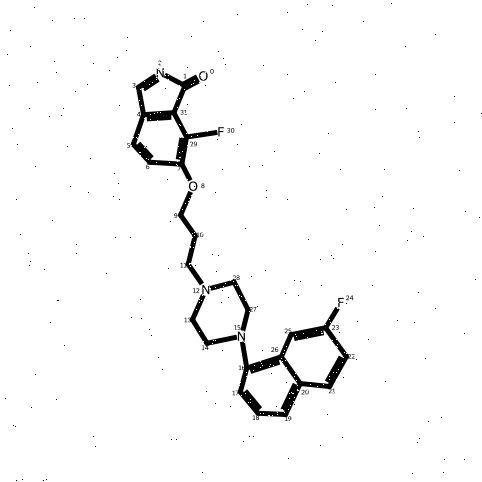 O=C1N=Cc2ccc(OCCCN3CCN(c4cccc5ccc(F)cc45)CC3)c(F)c21